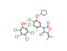 CC(C)=C1OC(=O)N(c2cc(OC3CCCC3)c(Cl)cc2F)C1=O.Oc1c(Cl)c(Cl)c(Cl)c(Cl)c1Cl